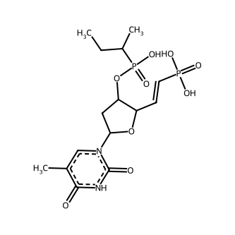 CCC(C)P(=O)(O)OC1CC(n2cc(C)c(=O)[nH]c2=O)OC1/C=C/P(=O)(O)O